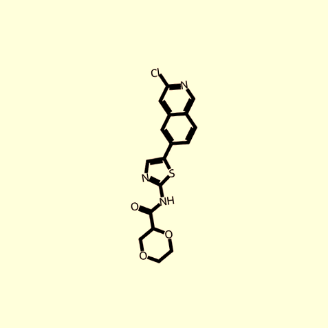 O=C(Nc1ncc(-c2ccc3cnc(Cl)cc3c2)s1)C1COCCO1